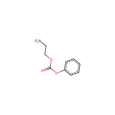 O=C(OCC[N+](=O)[O-])Oc1ccccc1